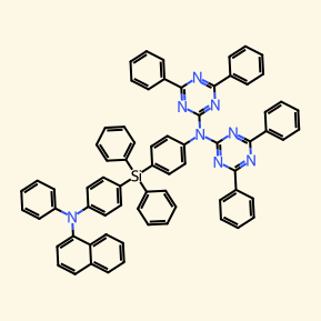 c1ccc(-c2nc(-c3ccccc3)nc(N(c3ccc([Si](c4ccccc4)(c4ccccc4)c4ccc(N(c5ccccc5)c5cccc6ccccc56)cc4)cc3)c3nc(-c4ccccc4)nc(-c4ccccc4)n3)n2)cc1